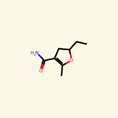 CCC1CC(C(N)=O)=C(C)O1